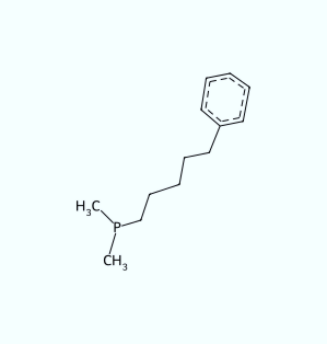 CP(C)CCCCCc1ccccc1